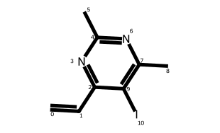 C=Cc1nc(C)nc(C)c1I